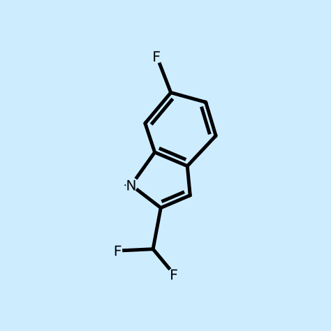 Fc1ccc2c(c1)[N]C(C(F)F)=C2